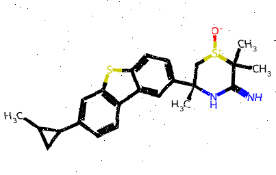 CC1CC1c1ccc2c(c1)sc1ccc([C@]3(C)C[S+]([O-])C(C)(C)C(=N)N3)cc12